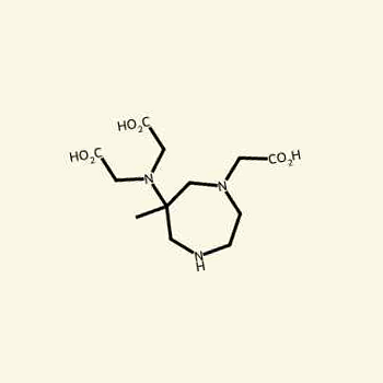 CC1(N(CC(=O)O)CC(=O)O)CNCCN(CC(=O)O)C1